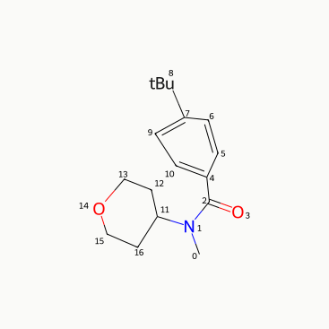 CN(C(=O)c1ccc(C(C)(C)C)cc1)C1CCOCC1